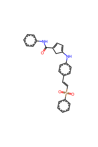 O=C(Nc1ccccc1)C1=CC=C(Nc2ccc(/C=C/S(=O)(=O)c3ccccc3)cc2)C1